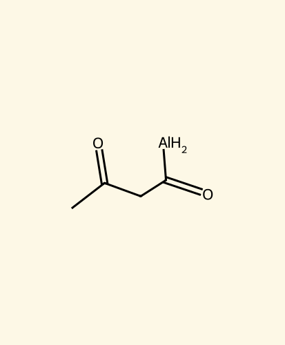 CC(=O)C[C](=O)[AlH2]